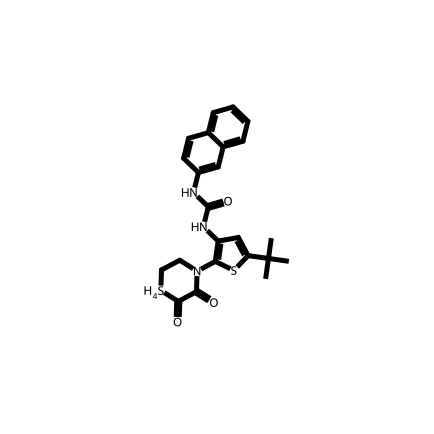 CC(C)(C)c1cc(NC(=O)Nc2ccc3ccccc3c2)c(N2CC[SH4]C(=O)C2=O)s1